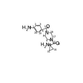 Nc1ccc(C(=O)N2CCN(C(=O)C3(N)CC3)CC2)cc1